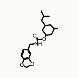 CC(C)CC1CC(C)CC(OC(=O)NCc2ccc3c(c2)OCO3)C1